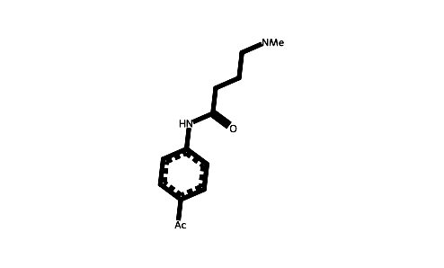 CNCCCC(=O)Nc1ccc(C(C)=O)cc1